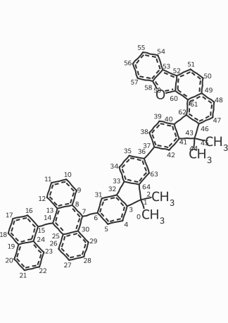 CC1(C)c2ccc(-c3c4ccccc4c(-c4cccc5ccccc45)c4ccccc34)cc2-c2ccc(-c3ccc4c(c3)C(C)(C)c3ccc5ccc6c7ccccc7oc6c5c3-4)cc21